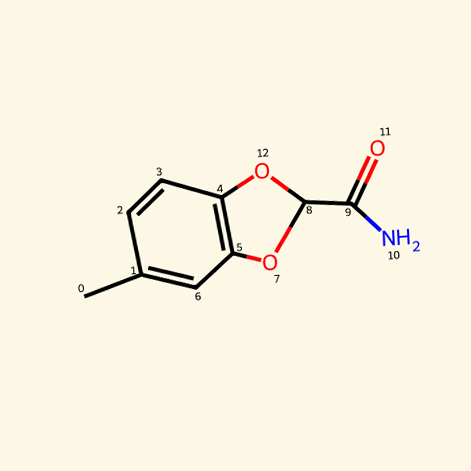 Cc1ccc2c(c1)OC(C(N)=O)O2